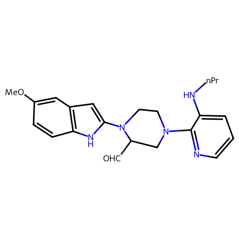 CCCNc1cccnc1N1CCN(c2cc3cc(OC)ccc3[nH]2)C(C=O)C1